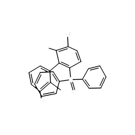 Cc1c(Cl)cccc1-c1c(P(=O)(c2ccccc2)c2ccccc2)ccc(Cl)c1C